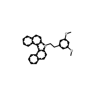 COc1cc(CCn2c3ccc4ccccc4c3c3c4ccccc4ccc32)cc(OC)c1